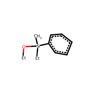 CCO[Si](C)(CC)c1ccccc1